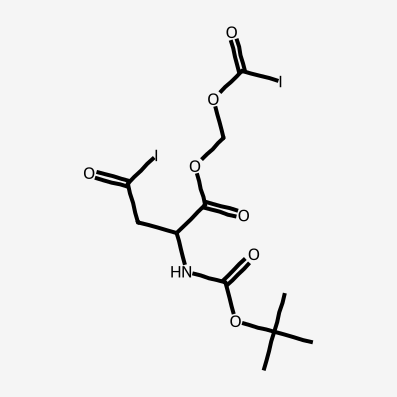 CC(C)(C)OC(=O)NC(CC(=O)I)C(=O)OCOC(=O)I